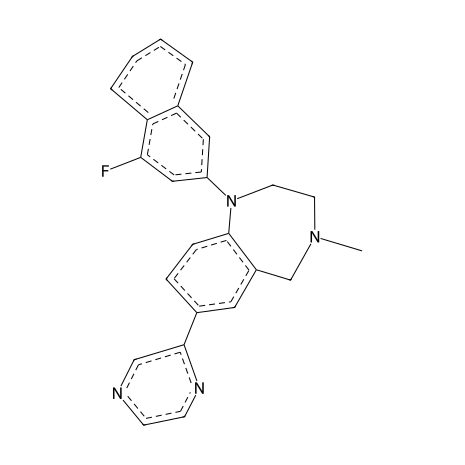 CN1CCN(c2cc(F)c3ccccc3c2)c2ccc(-c3cnccn3)cc2C1